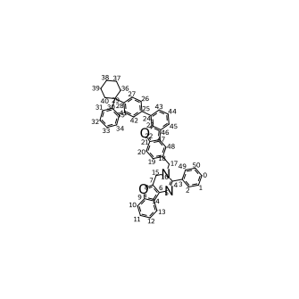 c1ccc(C2=Nc3c(oc4ccccc34)CN2Cc2ccc3oc4c(-c5ccc(C6(c7ccccc7)CCCCC6)cc5)cccc4c3c2)cc1